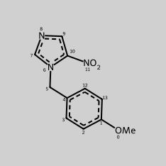 COc1ccc(Cn2cncc2[N+](=O)[O-])cc1